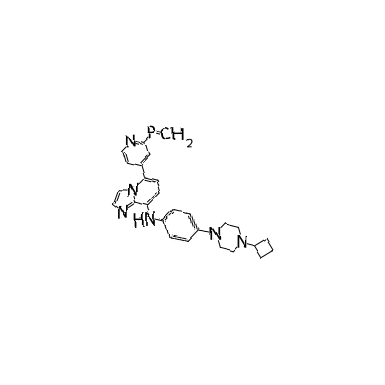 C=Pc1cc(-c2ccc(Nc3ccc(N4CCN(C5CCC5)CC4)cc3)c3nccn23)ccn1